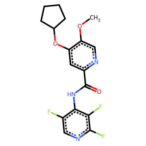 COc1cnc(C(=O)Nc2c(F)cnc(F)c2F)cc1OC1CCCC1